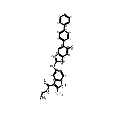 CCOC(=O)c1c(C)[nH]c2ccc(Oc3nc4cc(-c5ccc(-c6ccccc6)cc5)c(Cl)cc4[nH]3)cc12